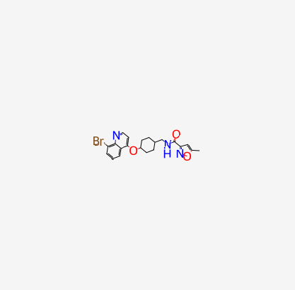 Cc1cc(C(=O)NCC2CCC(Oc3ccnc4c(Br)cccc34)CC2)no1